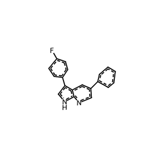 Fc1ccc(-c2c[nH]c3ncc(-c4ccccc4)cc23)cc1